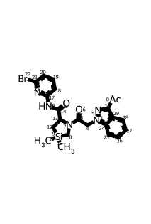 CC(=O)c1nn(CC(=O)N2C[Si](C)(C)CC2C(=O)Nc2cccc(Br)n2)c2ccccc12